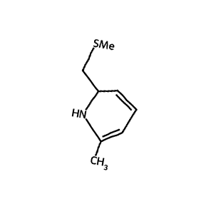 CSCC1C=CC=C(C)N1